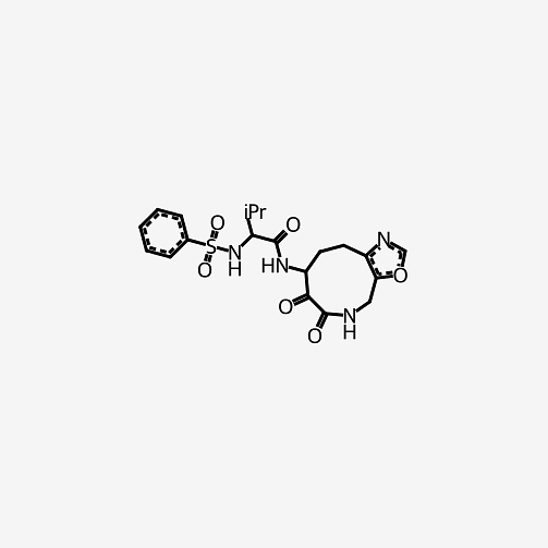 CC(C)C(NS(=O)(=O)c1ccccc1)C(=O)NC1CCc2ncoc2CNC(=O)C1=O